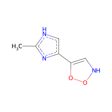 Cc1nc(C2=CNOO2)c[nH]1